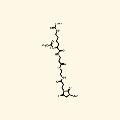 COC(=O)NCCCCC(NC(=O)OC)C(=O)NCCC(=O)NCCNC(=O)CCN1C(=O)CC(SC)C1=O